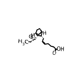 CC[S+]([O-])C[C@@H]1[C@@H]2CC[C@@H](C2)[C@@H]1C/C=C\CCCC(=O)O